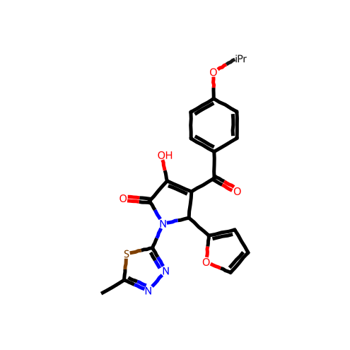 Cc1nnc(N2C(=O)C(O)=C(C(=O)c3ccc(OC(C)C)cc3)C2c2ccco2)s1